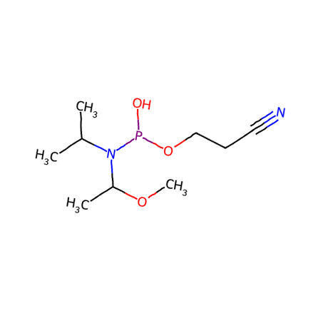 COC(C)N(C(C)C)P(O)OCCC#N